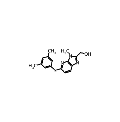 Cc1cc(C)cc(Sc2ccc3nc(CO)n(C)c3n2)c1